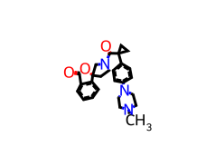 CN1CCN(c2ccc(C3(C(=O)N4CCC5(C4)OC(=O)c4ccccc45)CC3)cc2)CC1